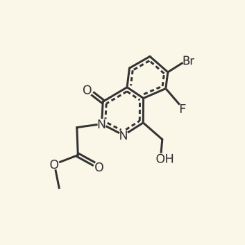 COC(=O)Cn1nc(CO)c2c(F)c(Br)ccc2c1=O